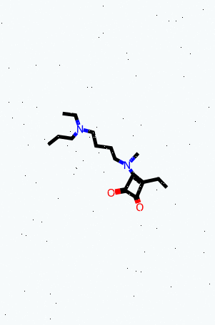 CCCN(CC)CCCCN(C)c1c(CC)c(=O)c1=O